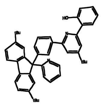 CC(C)(C)c1cc(-c2cccc(C3(c4ccccn4)c4cc(C(C)(C)C)ccc4-c4ccc(C(C)(C)C)cc43)c2)nc(-c2ccccc2O)c1